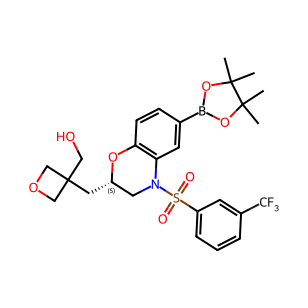 CC1(C)OB(c2ccc3c(c2)N(S(=O)(=O)c2cccc(C(F)(F)F)c2)C[C@H](CC2(CO)COC2)O3)OC1(C)C